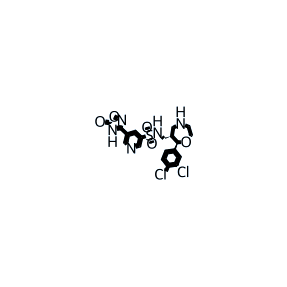 O=c1[nH]c(-c2cncc(S(=O)(=O)NC[C@@H]3CNCCO[C@H]3c3ccc(Cl)c(Cl)c3)c2)no1